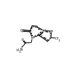 NC(=O)Cn1c(=O)ccn2nc(C(F)(F)F)cc12